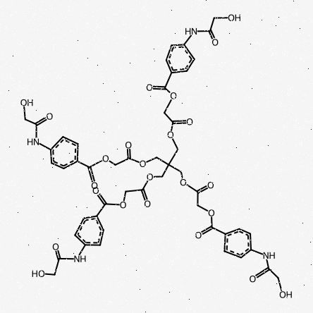 O=C(CO)Nc1ccc(C(=O)OCC(=O)OCC(COC(=O)COC(=O)c2ccc(NC(=O)CO)cc2)(COC(=O)COC(=O)c2ccc(NC(=O)CO)cc2)COC(=O)COC(=O)c2ccc(NC(=O)CO)cc2)cc1